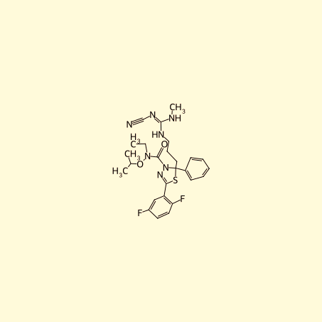 CCN(OC(C)C)C(=O)N1N=C(c2cc(F)ccc2F)SC1(CCCN/C(=N\C#N)NC)c1ccccc1